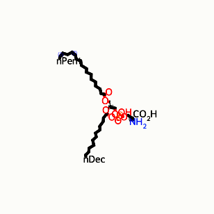 CCCCC/C=C\C/C=C\CCCCCCCCCCCC(=O)OC[C@H](COP(=O)(O)OC[C@H](N)C(=O)O)OC(=O)CCCCCCCCCCCCCCCCCCCCC